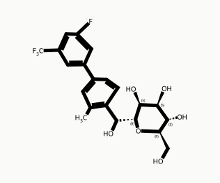 Cc1cc(-c2cc(F)cc(C(F)(F)F)c2)ccc1C(O)[C@H]1O[C@H](CO)[C@@H](O)[C@H](O)[C@@H]1O